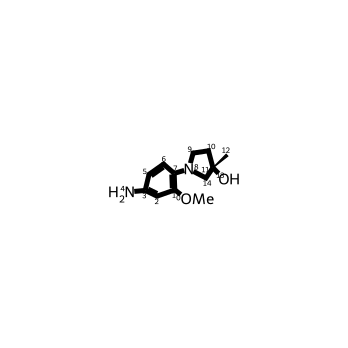 COc1cc(N)ccc1N1CC[C@](C)(O)C1